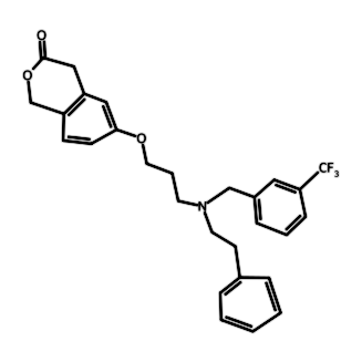 O=C1Cc2cc(OCCCN(CCc3ccccc3)Cc3cccc(C(F)(F)F)c3)ccc2CO1